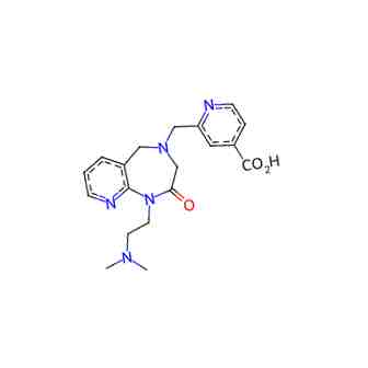 CN(C)CCN1C(=O)CN(Cc2cc(C(=O)O)ccn2)Cc2cccnc21